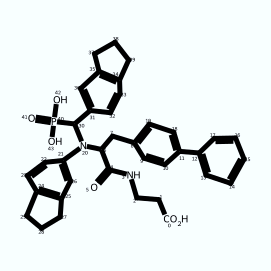 O=C(O)CCNC(=O)C(Cc1ccc(-c2ccccc2)cc1)N(c1ccc2c(c1)CCC2)C(c1ccc2c(c1)CCC2)P(=O)(O)O